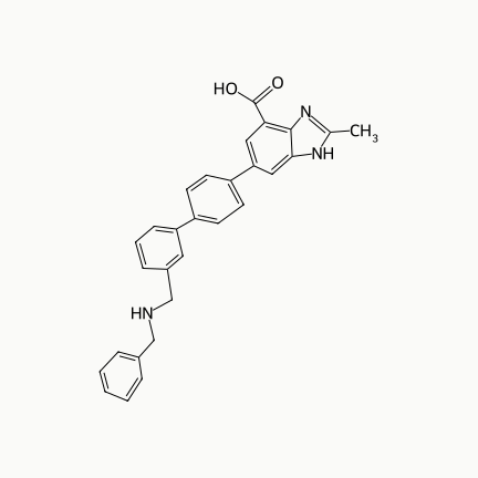 Cc1nc2c(C(=O)O)cc(-c3ccc(-c4cccc(CNCc5ccccc5)c4)cc3)cc2[nH]1